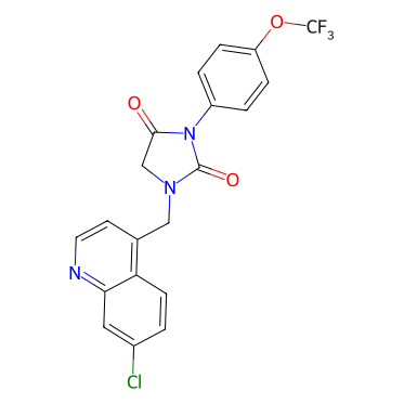 O=C1CN(Cc2ccnc3cc(Cl)ccc23)C(=O)N1c1ccc(OC(F)(F)F)cc1